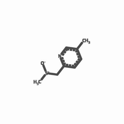 Cc1ccc(C[S+](C)[O-])nc1